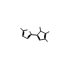 CC1=C(C)[CH]([Zr])C(c2ccc(C)o2)=C1